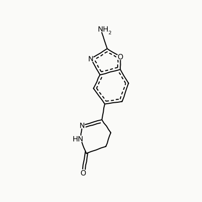 Nc1nc2cc(C3=NNC(=O)CC3)ccc2o1